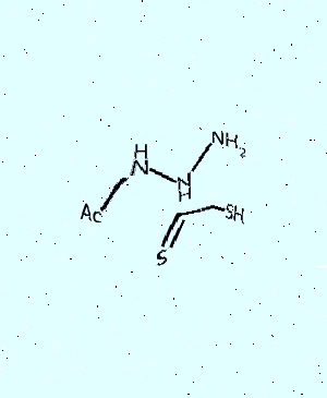 CC(=O)NNN.S=CS